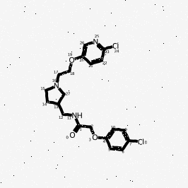 O=C(COc1ccc(Cl)cc1)NCC1CCN(CCOc2ccc(Cl)nc2)C1